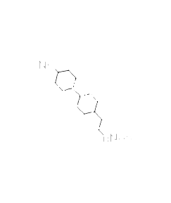 CCCCCCCCCCCC1CCC(C2CCC(C#N)CC2)CC1